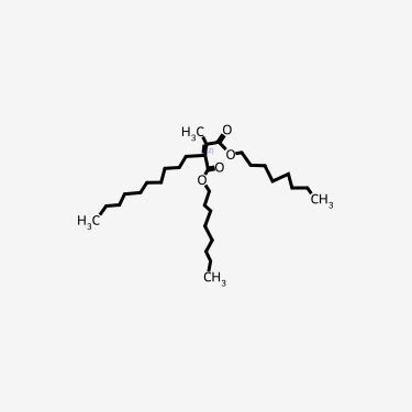 CCCCCCCCCC/C(C(=O)OCCCCCCCC)=C(\C)C(=O)OCCCCCCCC